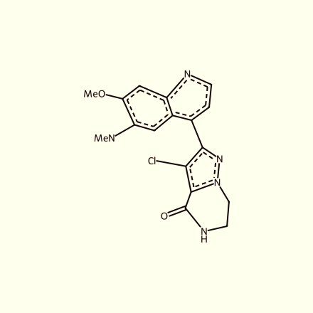 CNc1cc2c(-c3nn4c(c3Cl)C(=O)NCC4)ccnc2cc1OC